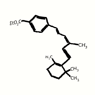 CCOC(=O)c1ccc(C=CC=C(C)C=CC2=C(C)CCCC2(C)C)cc1